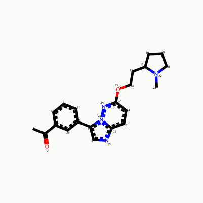 CC(=O)c1cccc(-c2cnc3ccc(OCCC4CCCN4C)nn23)c1